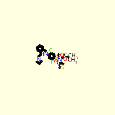 CC(C)(C)OC(=O)N(c1cscn1)S(=O)(=O)c1cc(Cl)c(NCc2ccccc2CCN2CCC2)cc1F